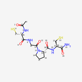 CC(=O)N[C@@H](CS)C(=O)NCC(=O)N1CCC[C@H]1C(=O)N[C@@H](CS)C(N)=O